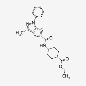 CCOC(=O)C1CCC(NC(=O)c2cc3c(C)nn(-c4ccccc4)c3s2)CC1